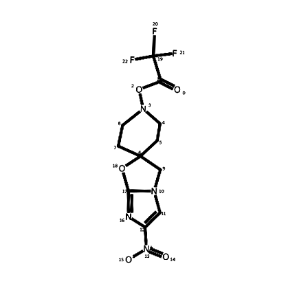 O=C(ON1CCC2(CC1)Cn1cc([N+](=O)[O-])nc1O2)C(F)(F)F